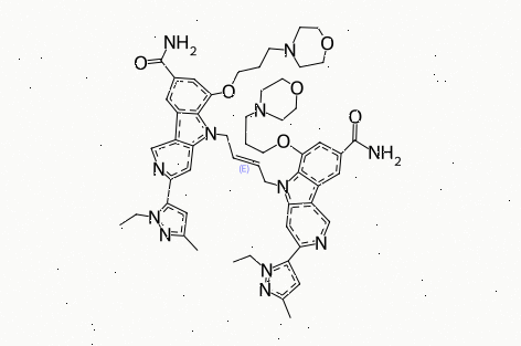 CCn1nc(C)cc1-c1cc2c(cn1)c1cc(C(N)=O)cc(OCCCN3CCOCC3)c1n2C/C=C/Cn1c2cc(-c3cc(C)nn3CC)ncc2c2cc(C(N)=O)cc(OCCCN3CCOCC3)c21